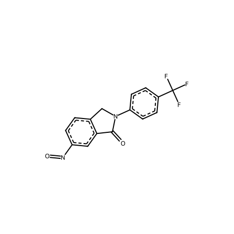 O=Nc1ccc2c(c1)C(=O)N(c1ccc(C(F)(F)F)cc1)C2